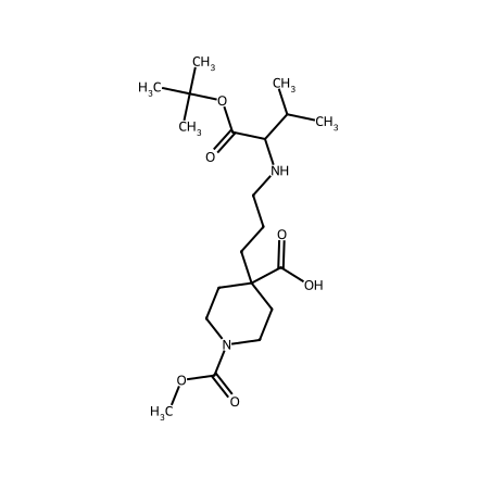 COC(=O)N1CCC(CCCNC(C(=O)OC(C)(C)C)C(C)C)(C(=O)O)CC1